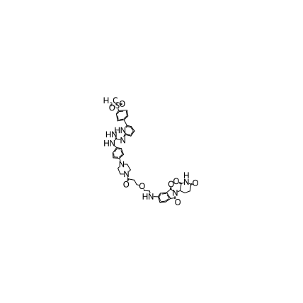 CS(=O)(=O)c1ccc(-c2ccc/c(=N/C(=N)Nc3ccc(N4CCN(C(=O)CCOCCNc5ccc6c(c5)C(=O)N(C5CCC(=O)NC5=O)C6=O)CC4)cc3)[nH]2)cc1